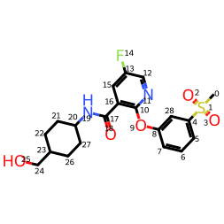 CS(=O)(=O)c1cccc(Oc2ncc(F)cc2C(=O)NC2CCC(CO)CC2)c1